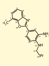 Cc1cccc2nc(-c3ccc(NCC(C)C)c(N)c3)oc12